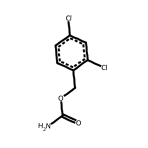 NC(=O)OCc1ccc(Cl)cc1Cl